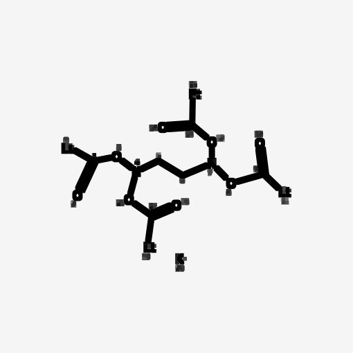 CCC(=O)ON(CCN(OC(=O)CC)OC(=O)CC)OC(=O)CC.[K]